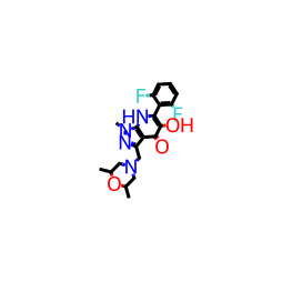 CC1CN(Cc2nn(C)c3[nH]c(-c4c(F)cccc4F)c(O)c(=O)c23)CC(C)O1